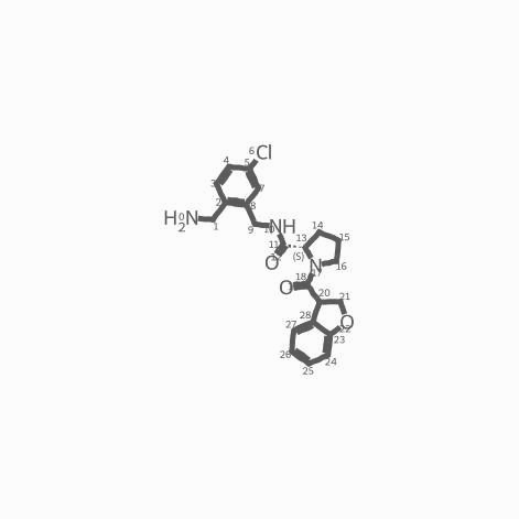 NCc1ccc(Cl)cc1CNC(=O)[C@@H]1CCCN1C(=O)C1COc2ccccc21